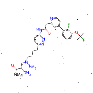 CNC(=O)/C(N)=C/N(N)CCCCc1ccc(NC(=O)Cc2cc(-c3cccc(OC(C)(C)F)c3F)ccn2)nn1